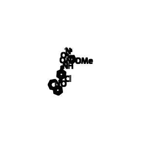 CO[C@@H]1C[C@@H](C(=O)N(C)C)N(C(=O)NCc2ccc(C(=O)N3CCCCc4ccccc43)c(Cl)c2)C1